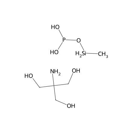 C[SiH2]OP(O)O.NC(CO)(CO)CO